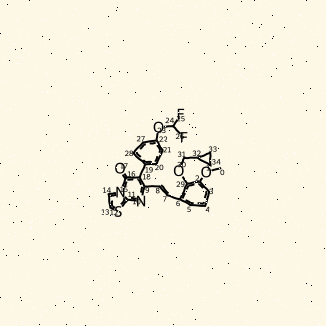 COc1cccc(C=Cc2nc3sccn3c(=O)c2-c2ccc(OC(F)F)cc2)c1OCC1CC1